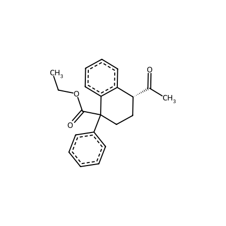 CCOC(=O)C1(c2ccccc2)CC[C@@H](C(C)=O)c2ccccc21